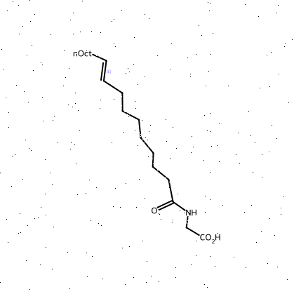 CCCCCCCC/C=C/CCCCCCCC(=O)NCC(=O)O